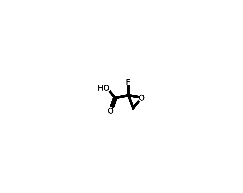 O=C(O)C1(F)CO1